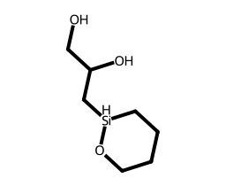 OCC(O)C[SiH]1CCCCO1